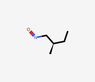 CC[C@@H](C)CN=O